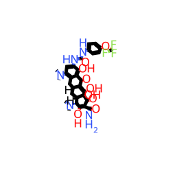 CN(C)c1cc(NC(=O)Nc2ccc(OC(F)(F)F)cc2)c(O)c2c1C[C@H]1C[C@H]3[C@H](N(C)C)C(O)=C(C(N)=O)C(=O)[C@@]3(O)C(O)=C1C2=O